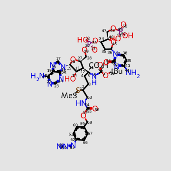 CSSC(CC[C@@](NC(=O)OC(C)(C)C)(C(=O)O)[C@H]1[C@@H](O)[C@H](n2cnc3c(N)ncnc32)O[C@H]1COP(=O)(O)O[C@H]1C[C@H](n2ccc(N)nc2=O)O[C@@H]1COP(=O)(O)O)CNC(=O)OCc1ccc(N=[N+]=[N-])cc1